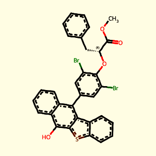 COC(=O)[C@@H](Cc1ccccc1)Oc1c(Br)cc(-c2c3ccccc3c(O)c3sc4ccccc4c23)cc1Br